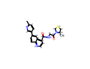 Cc1ccc(-c2ccc3nccc(C(=O)NCC(=O)N4CSC[C@H]4C#N)c3c2)cn1